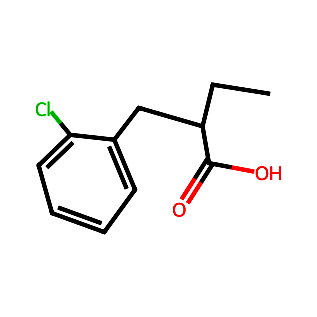 CCC(Cc1ccccc1Cl)C(=O)O